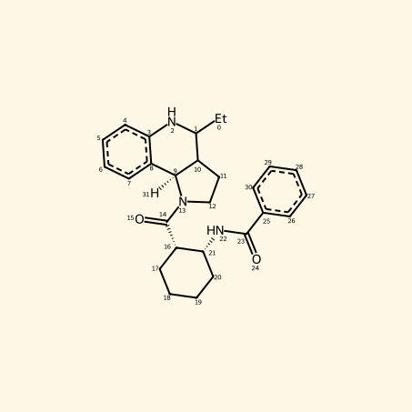 CCC1Nc2ccccc2[C@H]2C1CCN2C(=O)[C@H]1CCCC[C@H]1NC(=O)c1ccccc1